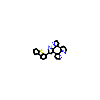 c1cnc2c(c1)-c1cccnc1-c1ncc(-c3cccc4c3sc3ccccc34)cc1-c1cccnc1-2